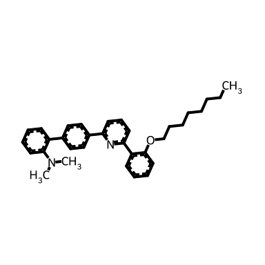 CCCCCCCCOc1ccccc1-c1cccc(-c2ccc(-c3ccccc3N(C)C)cc2)n1